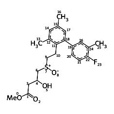 COC(=O)CC(O)C[S+]([O-])CCc1c(C)cc(C)cc1-c1ccc(F)c(C)c1